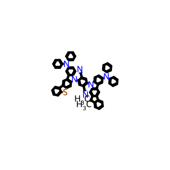 CC1(C)c2ccccc2-c2cc3c4cc(N(c5ccccc5)c5ccccc5)ccc4n(-c4cc(C#N)c(-n5c6ccc(N(c7ccccc7)c7ccccc7)cc6c6cc7c(cc65)sc5ccccc57)cc4C#N)c3cc21